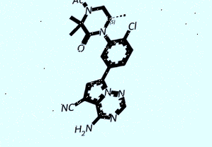 CC(=O)N1C[C@H](C)N(c2cc(-c3cc(C#N)c4c(N)ncnn34)ccc2Cl)C(=O)C1(C)C